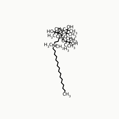 CCCCCCCCCCCCCCCCC[N+](C)(C)CCC[Si](OC(C)(C)C(C)(C)O)(OC(C)(C)C(C)(C)O)OC(C)(C)C(C)(C)O